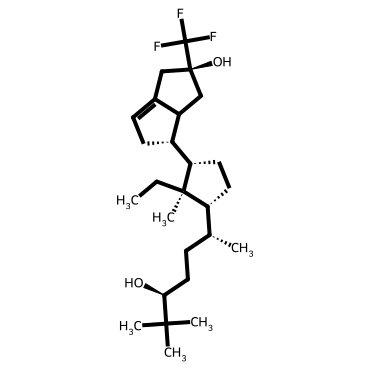 CC[C@]1(C)[C@@H]([C@H](C)CC[C@H](O)C(C)(C)C)CC[C@H]1[C@@H]1CC=C2C[C@](O)(C(F)(F)F)CC21